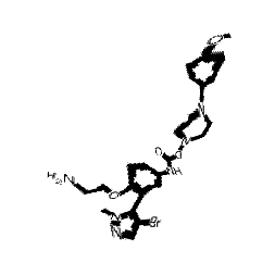 COc1ccc(N2CCN(OC(=O)Nc3ccc(OCCN)c(-c4c(Br)cnn4C)c3)CC2)cc1